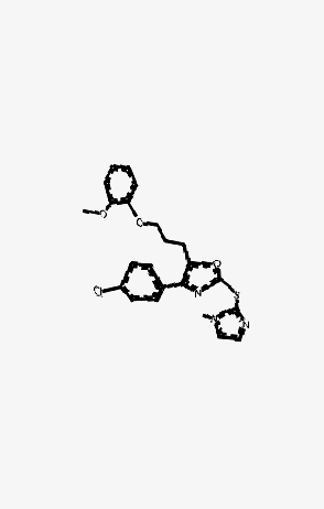 COc1ccccc1OCCCc1oc(Sc2nccn2C)nc1-c1ccc(Cl)cc1